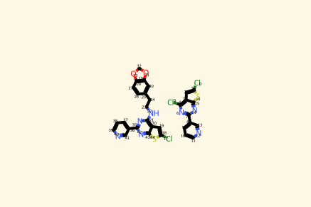 Clc1cc2c(Cl)nc(-c3cccnc3)nc2s1.Clc1cc2c(NCCc3ccc4c(c3)OCO4)nc(-c3cccnc3)nc2s1